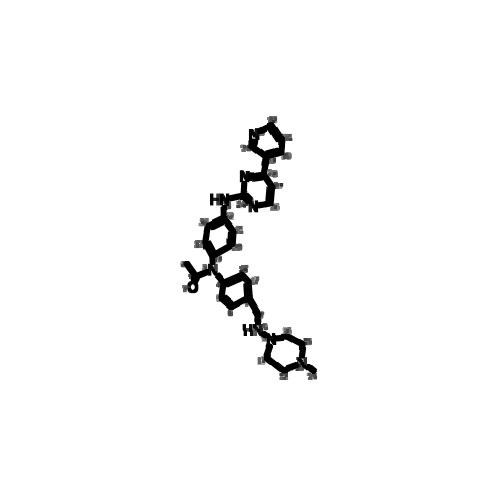 CC(=O)N(c1ccc(CNN2CCN(C)CC2)cc1)c1ccc(Nc2nccc(-c3cccnc3)n2)cc1